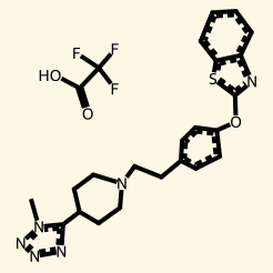 Cn1nnnc1C1CCN(CCc2ccc(Oc3nc4ccccc4s3)cc2)CC1.O=C(O)C(F)(F)F